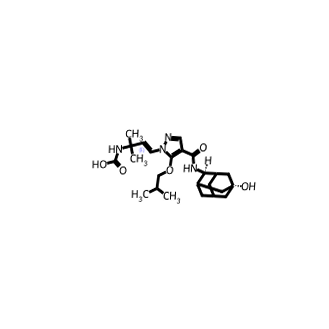 CC(C)COc1c(C(=O)N[C@H]2C3CC4CC2C[C@](O)(C4)C3)cnn1/C=C/C(C)(C)NC(=O)O